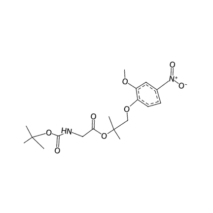 COc1cc([N+](=O)[O-])ccc1OCC(C)(C)OC(=O)CNC(=O)OC(C)(C)C